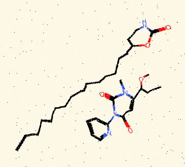 CCC(OC)c1cc(=O)n(-c2ccccn2)c(=O)n1C.CCCCCCCCCCCCCCCC1CCNC(=O)O1